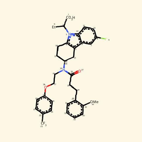 CCC(C(=O)O)n1c2c(c3cc(F)ccc31)C[C@@H](N(CCOc1ccc(C(F)(F)F)cc1)C(=O)CCc1ccccc1OC)CC2